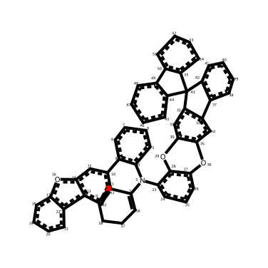 C1=CC(N(c2ccccc2-c2ccc3c(c2)oc2ccccc23)c2cccc3c2Oc2cc4c(cc2O3)-c2ccccc2C42c3ccccc3-c3ccccc32)=CCC1